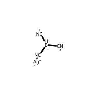 N#C[BH-](C#N)C#N.[Ag+]